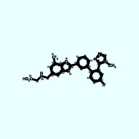 Cn1cnnc1-c1cc(F)ccc1-c1cccc(-c2nc3cc(CNCC(=O)O)cc(C(F)(F)F)c3o2)c1